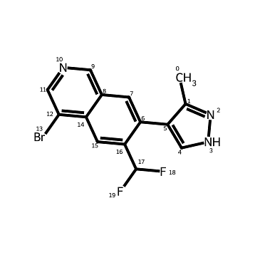 Cc1n[nH]cc1-c1cc2cncc(Br)c2cc1C(F)F